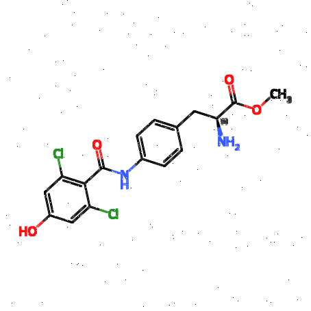 COC(=O)[C@@H](N)Cc1ccc(NC(=O)c2c(Cl)cc(O)cc2Cl)cc1